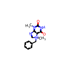 Cn1c2c(c(=O)[nH]c1=O)[N+](C)(Cc1ccccc1)C=N2